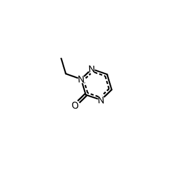 CCn1nccnc1=O